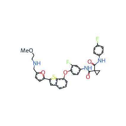 COCCNCc1ccc(-c2cc3cccc(Oc4ccc(NC(=O)C5(C(=O)Nc6ccc(F)cc6)CC5)cc4F)c3s2)o1